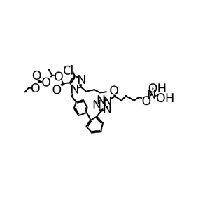 CCCCc1nc(Cl)c(C(=O)OC(C)OC(=O)OCC)n1Cc1ccc(-c2ccccc2-c2nnn(C(=O)CCCCON(O)O)n2)cc1